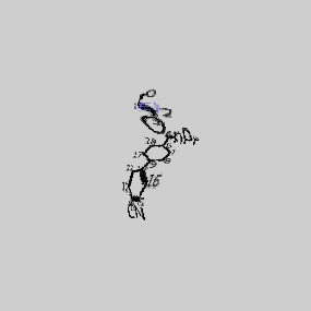 C/C=C/OC(CCC)C1CCC(c2ccc(C#N)cc2)CC1